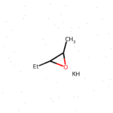 CCC1OC1C.[KH]